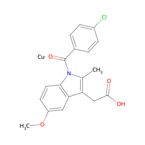 COc1ccc2c(c1)c(CC(=O)O)c(C)n2C(=O)c1ccc(Cl)cc1.[Cu]